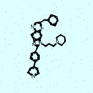 c1ccc(Cc2cnc3cc4nc(-c5ccc(-c6ccncc6)cc5)n(CCCN5CCCCC5)c4cc3n2)cc1